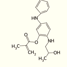 C=C(C)C(=O)Oc1cc(Nc2ccccc2)ccc1NCC(C)O